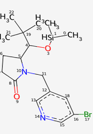 C[SiH](C)OC(C1CCC(=O)N1Cc1cncc(Br)c1)C(C)(C)C